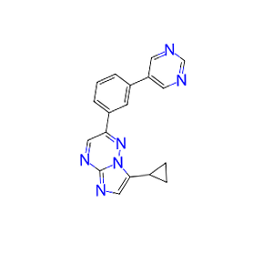 c1cc(-c2cncnc2)cc(-c2cnc3ncc(C4CC4)n3n2)c1